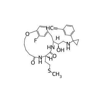 C#Cc1cccc(C2(NC[C@@H](O)[C@@H]3Cc4ccc(c(F)c4)OCCCCC(=O)N[C@@H](CCSC)C(=O)N3)CC2)c1